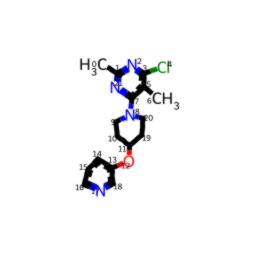 Cc1nc(Cl)c(C)c(N2CCC(Oc3cccnc3)CC2)n1